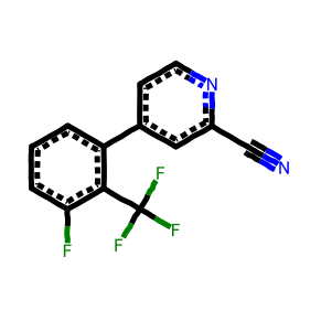 N#Cc1cc(-c2cccc(F)c2C(F)(F)F)ccn1